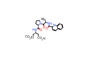 CCOC(=O)C[C@H](CC(=O)O)NC(=O)[C@H]1CCCN1C(=O)C(NC(=O)c1ccc2ccccc2n1)C(C)(C)C